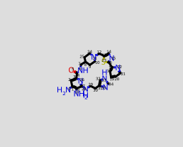 Nc1cc(C(=O)NCC2CCN(Cc3cnc(-c4ccccn4)s3)CC2)nc(NCCc2c[nH]cn2)c1N